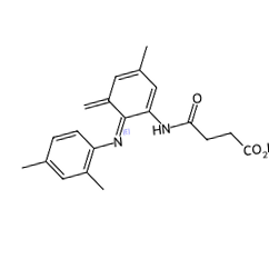 C=C1C=C(C)C=C(NC(=O)CCC(=O)O)/C1=N/c1ccc(C)cc1C